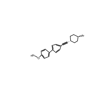 CCCOc1ccc(-c2ccc(C#C[C@H]3CC[C@H](CCC)CC3)cc2)cc1